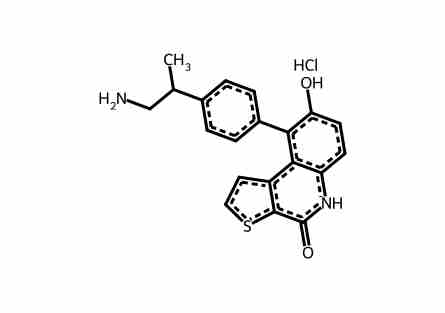 CC(CN)c1ccc(-c2c(O)ccc3[nH]c(=O)c4sccc4c23)cc1.Cl